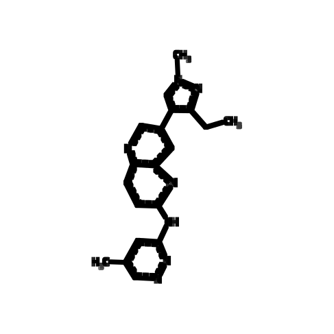 CCc1nn(C)cc1-c1cnc2ccc(Nc3cc(C)cnn3)nc2c1